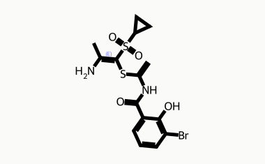 C=C(NC(=O)c1cccc(Br)c1O)S/C(=C(/C)N)S(=O)(=O)C1CC1